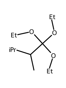 CCOC(OCC)(OCC)C(C)C(C)C